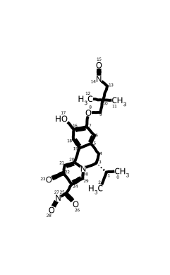 CC(C)[C@H]1Cc2cc(OCC(C)(C)CN=O)c(O)cc2-c2cc(=O)c(C(=O)N=O)cn21